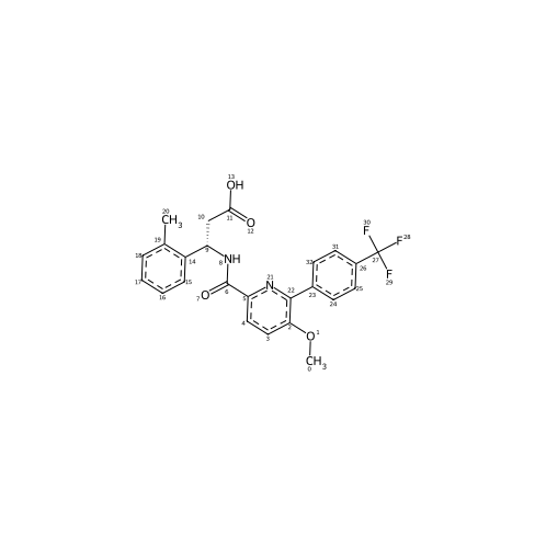 COc1ccc(C(=O)N[C@@H](CC(=O)O)c2ccccc2C)nc1-c1ccc(C(F)(F)F)cc1